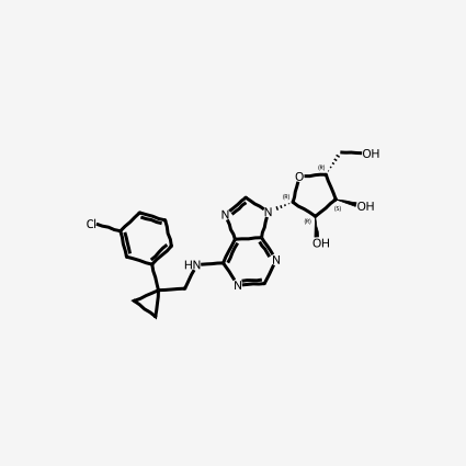 OC[C@H]1O[C@@H](n2cnc3c(NCC4(c5cccc(Cl)c5)CC4)ncnc32)[C@H](O)[C@@H]1O